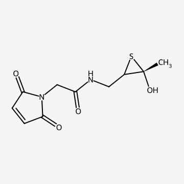 C[C@]1(O)SC1CNC(=O)CN1C(=O)C=CC1=O